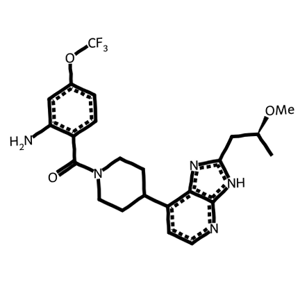 CO[C@@H](C)Cc1nc2c(C3CCN(C(=O)c4ccc(OC(F)(F)F)cc4N)CC3)ccnc2[nH]1